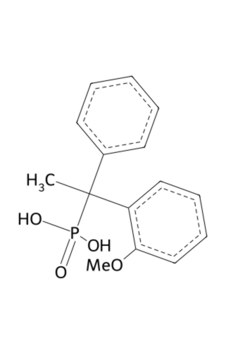 COc1ccccc1C(C)(c1ccccc1)P(=O)(O)O